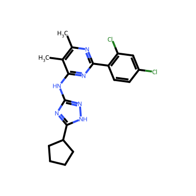 Cc1nc(-c2ccc(Cl)cc2Cl)nc(Nc2n[nH]c(C3CCCC3)n2)c1C